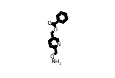 NOCc1ccc(COC(=O)c2ccccc2)cn1